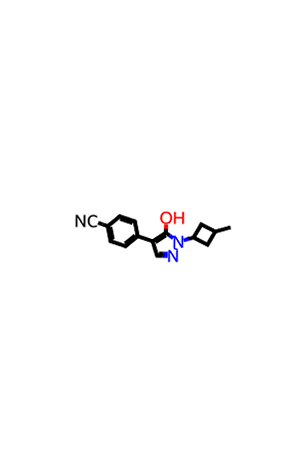 CC1C[C](n2ncc(-c3ccc(C#N)cc3)c2O)C1